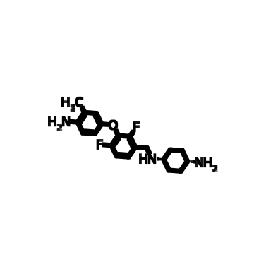 Cc1cc(Oc2c(F)ccc(CN[C@H]3CC[C@@H](N)CC3)c2F)ccc1N